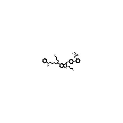 CCCCCN(CCCCNc1ccccc1)c1ccc2nc(CCCC)n(Cc3ccc(-c4ccccc4OC(=O)O)cc3)c2c1